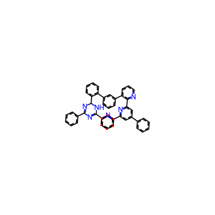 c1ccc(C2=NC(c3ccccc3-c3cccc(-c4cccnc4-c4cc(-c5ccccc5)cc(-c5ccccn5)n4)c3)NC(c3ccccc3)=N2)cc1